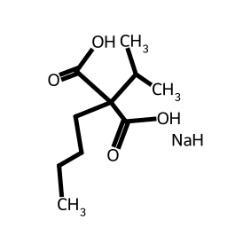 CCCCC(C(=O)O)(C(=O)O)C(C)C.[NaH]